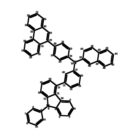 c1ccc(-n2c3ccccc3c3c(-c4cccc(N(c5ccc(-c6cc7ccccc7c7ccccc67)cc5)c5ccc6ccccc6c5)c4)cccc32)cc1